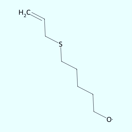 C=CCSCCCCC[O]